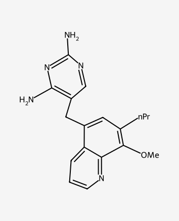 CCCc1cc(Cc2cnc(N)nc2N)c2cccnc2c1OC